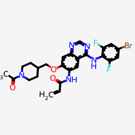 C=CC(=O)Nc1cc2c(Nc3c(F)cc(Br)cc3F)ncnc2cc1OCC1CCN(C(C)=O)CC1